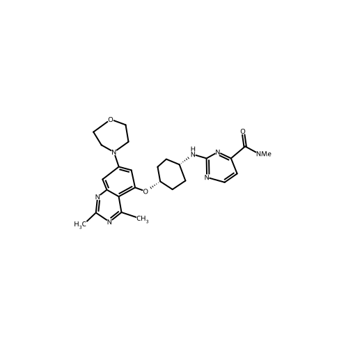 CNC(=O)c1ccnc(N[C@H]2CC[C@@H](Oc3cc(N4CCOCC4)cc4nc(C)nc(C)c34)CC2)n1